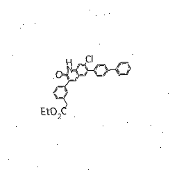 CCOC(=O)Cc1cccc(-c2cc3cc(-c4ccc(-c5ccccc5)cc4)c(Cl)cc3[nH]c2=O)c1